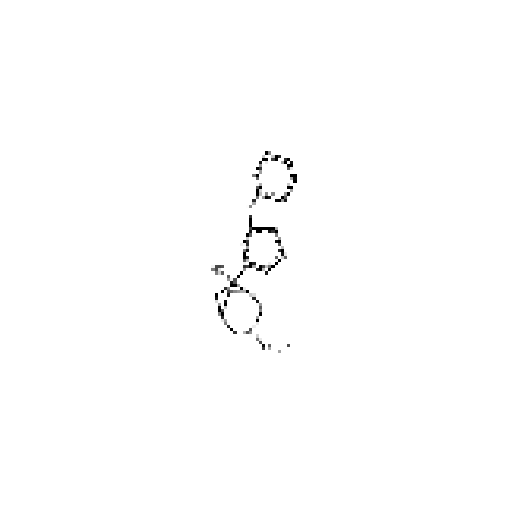 CCOC(=O)N1CC2CC(C1)C(O)(c1cncc(Oc3ccccc3)c1)C2